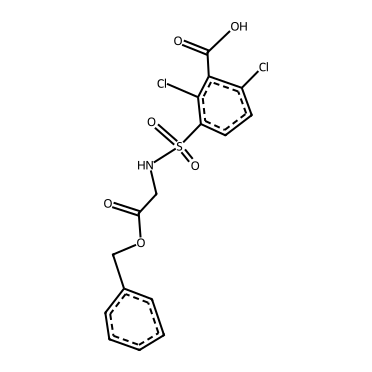 O=C(CNS(=O)(=O)c1ccc(Cl)c(C(=O)O)c1Cl)OCc1ccccc1